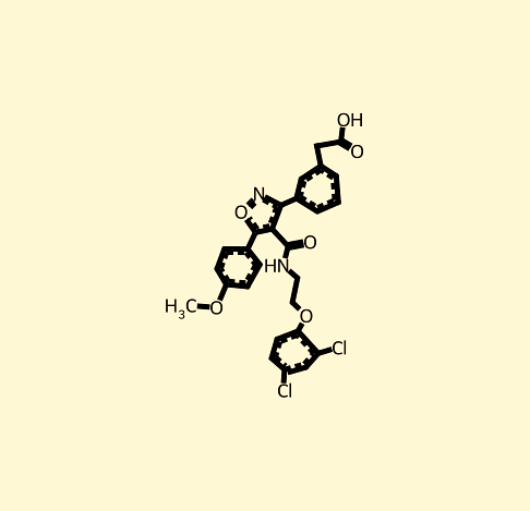 COc1ccc(-c2onc(-c3cccc(CC(=O)O)c3)c2C(=O)NCCOc2ccc(Cl)cc2Cl)cc1